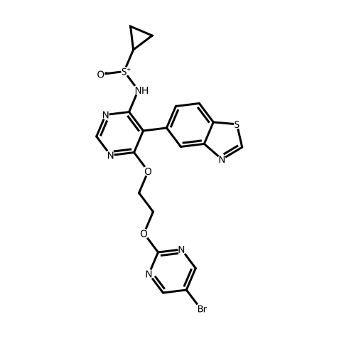 [O-][S+](Nc1ncnc(OCCOc2ncc(Br)cn2)c1-c1ccc2scnc2c1)C1CC1